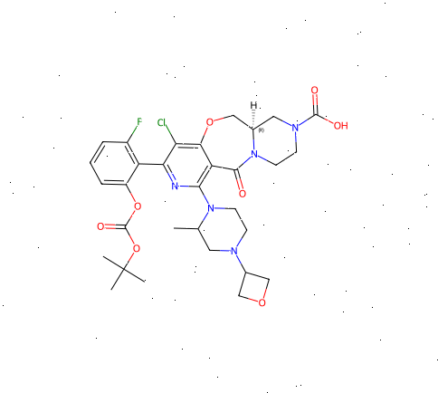 CC1CN(C2COC2)CCN1c1nc(-c2c(F)cccc2OC(=O)OC(C)(C)C)c(Cl)c2c1C(=O)N1CCN(C(=O)O)C[C@@H]1CO2